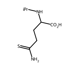 CC(C)NC(CCC(N)=S)C(=O)O